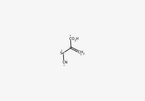 C=C([Se]C#N)C(=O)O